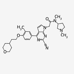 Cc1cc(-c2nc(C#N)nc3c2ccn3CC(=O)N(C)C2CCN(C)C2)ccc1OCCC1CCOCC1